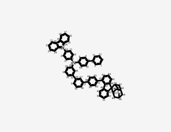 c1ccc(-c2ccc(N(c3ccc(-n4c5ccccc5c5ccccc54)cc3)c3cccc(-c4cccc(-c5ccc(-c6cccc7c6-c6ccccc6C76C7CCC8CC(C7)CC6C8)cc5)c4)c3)cc2)cc1